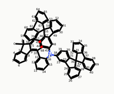 CC1(C)c2ccccc2-c2c(-c3ccccc3N(c3ccc4c(c3)-c3ccccc3C43c4ccccc4-c4ccccc43)c3ccc4c(c3)-c3ccccc3C43c4ccccc4-c4ccccc43)cccc21